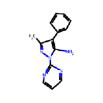 Nc1c(-c2ccccc2)c(C(F)(F)F)nn1-c1ncccn1